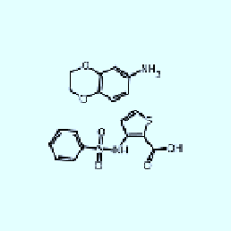 Nc1ccc2c(c1)OCCO2.O=C(O)c1sccc1NS(=O)(=O)c1ccccc1